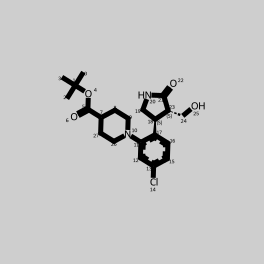 CC(C)(C)OC(=O)C1CCN(c2cc(Cl)ccc2[C@H]2CNC(=O)[C@@H]2CO)CC1